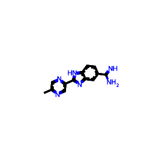 Cc1cnc(-c2nc3cc(C(=N)N)ccc3[nH]2)cn1